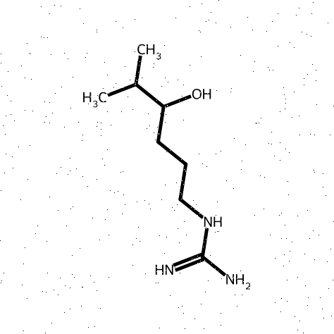 CC(C)C(O)CCCNC(=N)N